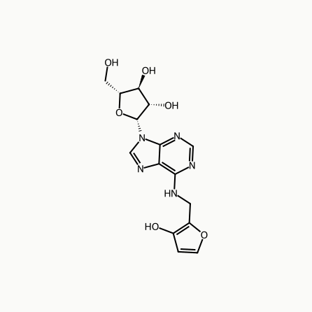 OC[C@H]1O[C@@H](n2cnc3c(NCc4occc4O)ncnc32)[C@@H](O)[C@@H]1O